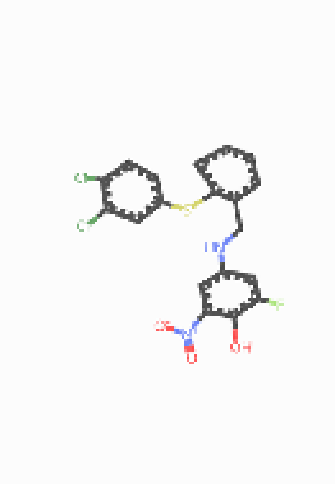 O=[N+]([O-])c1cc(NCc2ccccc2Sc2ccc(Cl)c(Cl)c2)cc(F)c1O